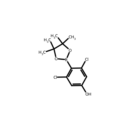 CC1(C)OB(c2c(Cl)cc(O)cc2Cl)OC1(C)C